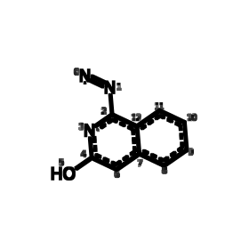 [N]=Nc1nc(O)cc2ccccc12